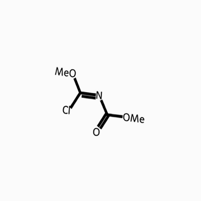 COC(=O)N=C(Cl)OC